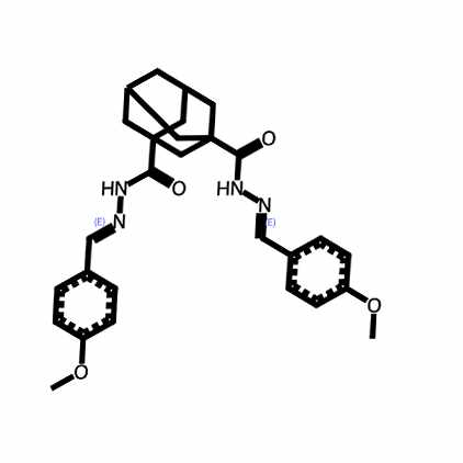 COc1ccc(/C=N/NC(=O)C23CC4CC(C2)CC(C(=O)N/N=C/c2ccc(OC)cc2)(C4)C3)cc1